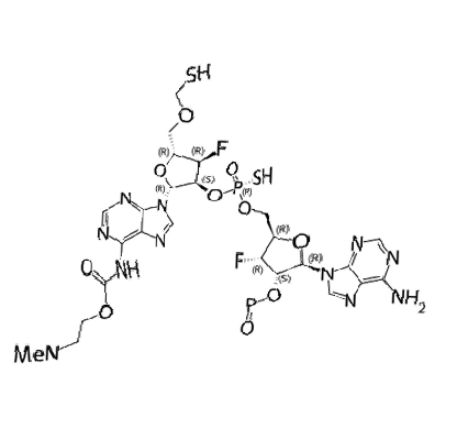 CNCCOC(=O)Nc1ncnc2c1ncn2[C@@H]1O[C@H](COCS)[C@@H](F)[C@H]1O[P@](=O)(S)OC[C@H]1O[C@@H](n2cnc3c(N)ncnc32)[C@H](OP=O)[C@@H]1F